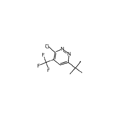 CC(C)(C)c1cc(C(F)(F)F)c(Cl)nn1